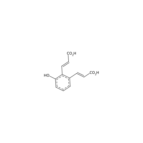 O=C(O)C=Cc1cccc(O)c1C=CC(=O)O